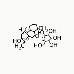 C=C1C[C@@]23CCC4C(C)(C(=O)O[C@@H]5O[C@H](CO)[C@H](O)[C@@H](O)[C@H]5O)CCC[C@@]4(C)C2CC[C@]1(O)C3